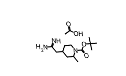 CC(=O)O.CC1CC(CC(=N)N)CCN1C(=O)OC(C)(C)C